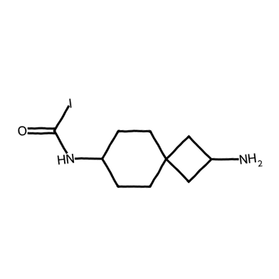 NC1CC2(CCC(NC(=O)I)CC2)C1